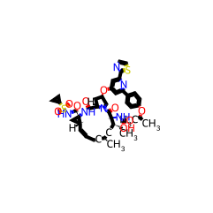 CC[C@@H]1C[C@H](C)CCC=C[C@@H]2C[C@@]2(C(=O)NS(=O)(=O)C2CC2)NC(=O)[C@@H]2C[C@@H](Oc3cc(-c4ccc(OC(C)C)cc4)nc(-c4nccs4)c3)CN2C(=O)[C@H]1NC(=O)O